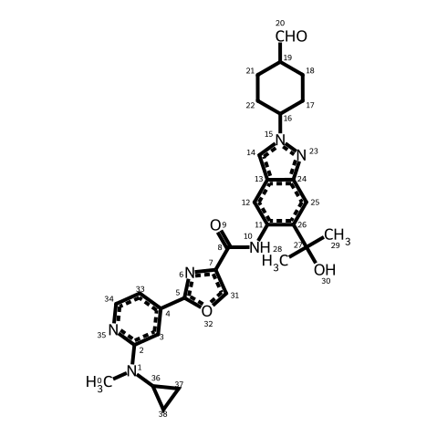 CN(c1cc(-c2nc(C(=O)Nc3cc4cn(C5CCC(C=O)CC5)nc4cc3C(C)(C)O)co2)ccn1)C1CC1